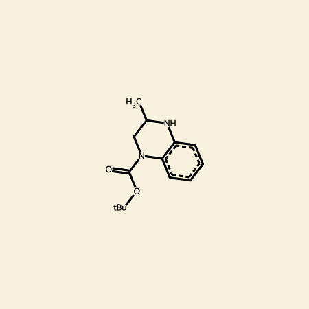 CC1CN(C(=O)OC(C)(C)C)c2ccccc2N1